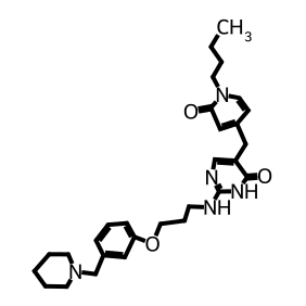 CCCCn1ccc(Cc2cnc(NCCCOc3cccc(CN4CCCCC4)c3)[nH]c2=O)cc1=O